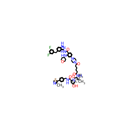 Cc1ncsc1-c1ccc(CNC(=O)[C@@H]2C[C@@H](O)CN2C(=O)[C@@H](NC(=O)CCCCC(=O)N2CCN(c3ccc(C(=O)Nc4n[nH]c5ccc(Cc6cc(F)cc(F)c6)cc45)c(NC4CCOCC4)c3)CC2)C(C)(C)C)cc1